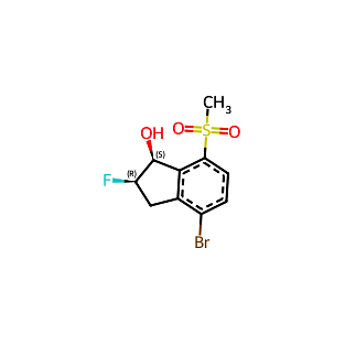 CS(=O)(=O)c1ccc(Br)c2c1[C@H](O)[C@H](F)C2